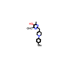 Cc1nc(CC2=CCN(c3ccc(C(C)(C)C)cc3)CC2)nc([C]=O)c1O